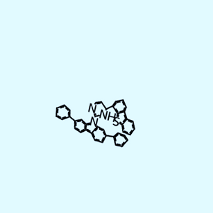 C1=CC(c2cccc3c2sc2ccccc23)NC(n2c3cc(-c4ccccc4)ccc3c3ccc(-c4ccccc4)cc32)=N1